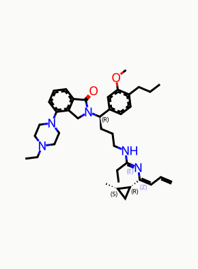 C=C/C=C(\N=C(/CC)NCCC[C@H](c1ccc(CCC)c(OC)c1)N1Cc2c(cccc2N2CCN(CC)CC2)C1=O)[C@@H]1C[C@@H]1C